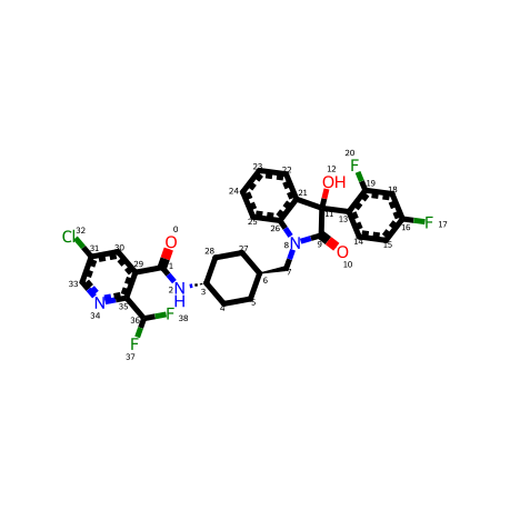 O=C(N[C@H]1CC[C@H](CN2C(=O)C(O)(c3ccc(F)cc3F)c3ccccc32)CC1)c1cc(Cl)cnc1C(F)F